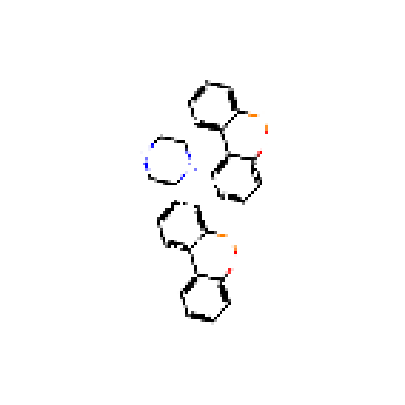 C1CNCCN1.c1ccc2c(c1)OPc1ccccc1-2.c1ccc2c(c1)OPc1ccccc1-2